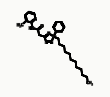 CCCCCCCCCCCC[N+]1(c2ccccc2)N=NC(CC(=O)Nc2ncccc2C)=N1